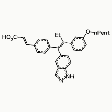 CCCCCOc1cccc(C(CC)=C(c2ccc(C=CC(=O)O)cc2)c2ccc3[nH]ncc3c2)c1